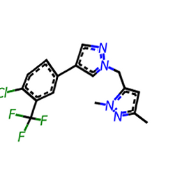 Cc1cc(Cn2cc(-c3ccc(Cl)c(C(F)(F)F)c3)cn2)n(C)n1